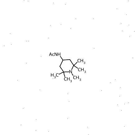 CC(=O)NC1CC(C)(C)N(C)C(C)(C)C1